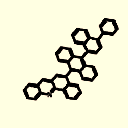 c1ccc(-c2ccc(-c3c4ccccc4c(-c4cc5cc6ccccc6nc5c5ccccc45)c4ccccc34)c3ccccc23)cc1